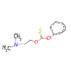 CN(C)CCOC(=S)Oc1ccccc1